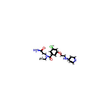 CC(C)CN(CCC(N)=O)C(=O)c1cc(Cl)cc(OCCNc2ccncc2)c1